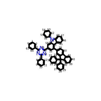 c1ccc(-c2nc(-c3ccccc3)nc(-c3cc(-c4ccc5c(c4)C(c4ccccc4)(c4ccccc4)c4ccccc4-5)c4c5ccccc5n(-c5ccccc5)c4c3)n2)cc1